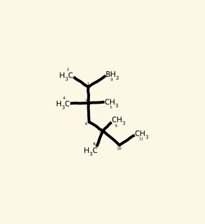 BC(C)C(C)(C)CC(C)(C)CC